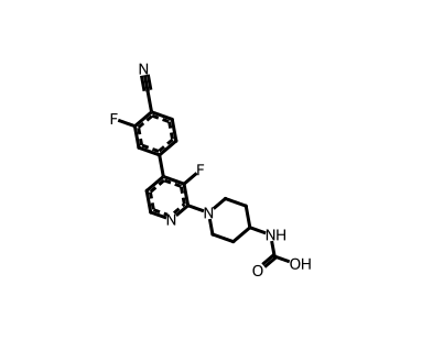 N#Cc1ccc(-c2ccnc(N3CCC(NC(=O)O)CC3)c2F)cc1F